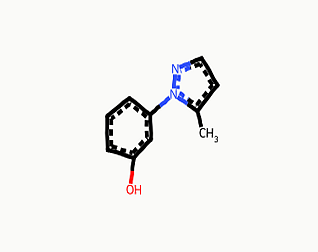 Cc1ccnn1-c1cccc(O)c1